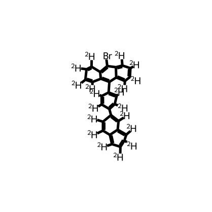 [2H]c1c([2H])c(-c2c3c([2H])c([2H])c([2H])c([2H])c3c(Br)c3c([2H])c([2H])c([2H])c([2H])c23)c([2H])c([2H])c1-c1c([2H])c([2H])c2c([2H])c([2H])c([2H])c([2H])c2c1[2H]